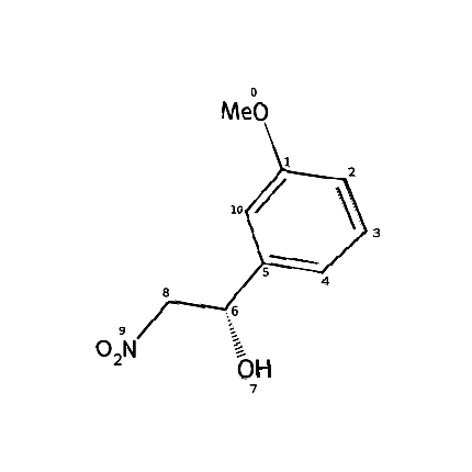 COc1cccc([C@H](O)C[N+](=O)[O-])c1